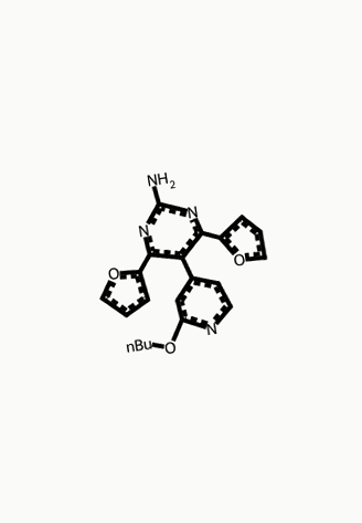 CCCCOc1cc(-c2c(-c3ccco3)nc(N)nc2-c2ccco2)ccn1